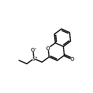 CC[S+]([O-])Cc1cc(=O)c2ccccc2o1